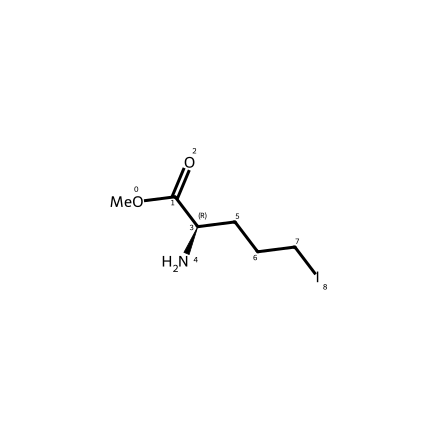 COC(=O)[C@H](N)CCCI